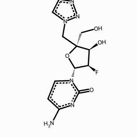 Nc1ccn([C@@H]2O[C@@](CO)(Cn3ccnn3)[C@@H](O)[C@H]2F)c(=O)n1